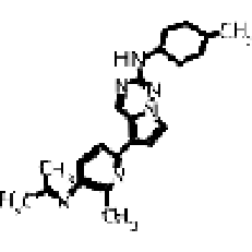 CC(C)=Nc1ccc(-c2ccn3nc(NC4CCC(C)CC4)ncc23)nc1C